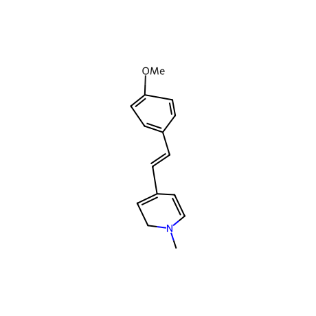 COc1ccc(C=CC2=CCN(C)C=C2)cc1